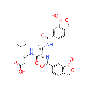 CC(C)C[C@@H](CC(=O)O)NC(=O)[C@@H](NC(=O)c1ccc2c(c1)B(O)OC2)[C@H](C)NC(=O)c1ccc2c(c1)B(O)OC2